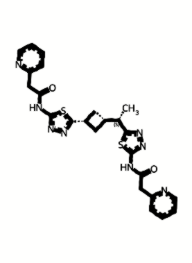 C[C@H](c1nnc(NC(=O)Cc2ccccn2)s1)[C@H]1C[C@@H](c2nnc(NC(=O)Cc3ccccn3)s2)C1